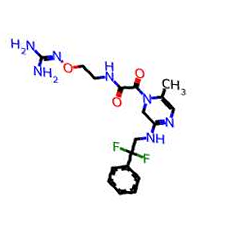 CC1=CN=C(NCC(F)(F)c2ccccc2)CN1C(=O)C(=O)NCCON=C(N)N